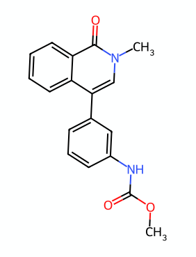 COC(=O)Nc1cccc(-c2cn(C)c(=O)c3ccccc23)c1